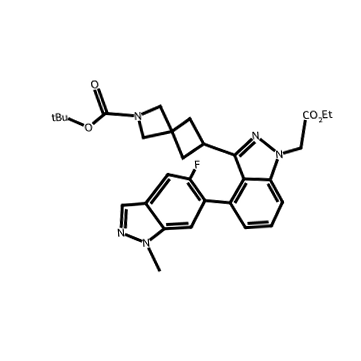 CCOC(=O)Cn1nc(C2CC3(C2)CN(C(=O)OC(C)(C)C)C3)c2c(-c3cc4c(cnn4C)cc3F)cccc21